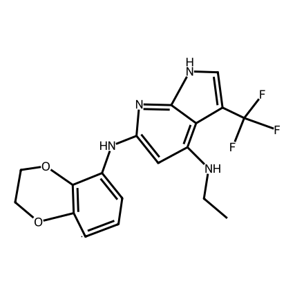 CCNc1cc(Nc2cc[c]c3c2OCCO3)nc2[nH]cc(C(F)(F)F)c12